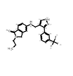 CCCN1Cc2cc(NCc3c[nH]nc3-c3cccc(C(F)(F)F)c3)ccc2C1=O